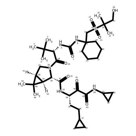 CC(C)(C)[C@H](NC(=O)NC1(CS(=O)(=O)C(C)(C)CO)CCCCC1)C(=O)N1C[C@H]2[C@@H]([C@H]1C(=O)N[C@@H](CCC1CC1)C(=O)C(=O)NC1CC1)C2(C)C